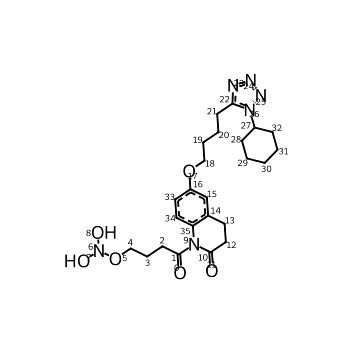 O=C(CCCON(O)O)N1C(=O)CCc2cc(OCCCCc3nnnn3C3CCCCC3)ccc21